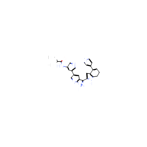 CC(C)C(=O)Nc1cncc(-c2cnc3[nH]nc(-c4cc5c([nH]4)CCC=C5c4ccncc4)c3c2)c1